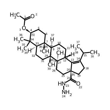 CC(=O)O[C@H]1CC[C@]2(C)[C@H]3CC[C@@H]4C5=C(C(C)C)CC[C@]5(C(=O)NN)CC[C@@]4(C)[C@]3(C)CC[C@H]2C1(C)C